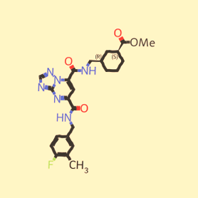 COC(=O)[C@H]1CCC[C@@H](CNC(=O)c2cc(C(=O)NCc3ccc(F)c(C)c3)nc3ncnn23)C1